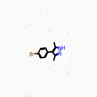 Cc1n[nH]c(C)c1-c1ccc(Br)cc1